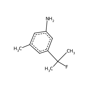 Cc1cc(N)cc(C(C)(C)F)c1